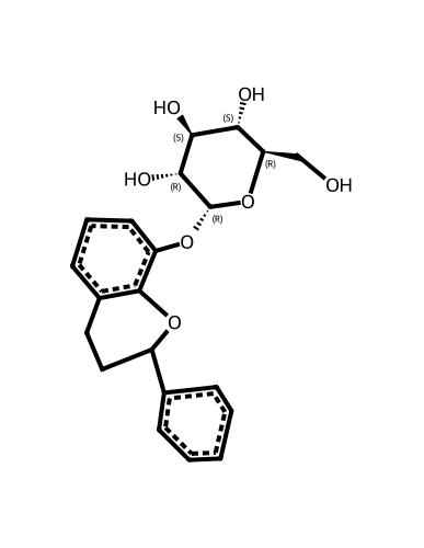 OC[C@H]1O[C@H](Oc2cccc3c2OC(c2ccccc2)CC3)[C@H](O)[C@@H](O)[C@@H]1O